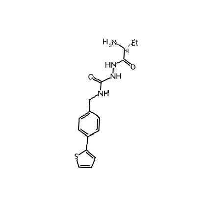 CC[C@@H](N)C(=O)NNC(=O)NCc1ccc(-c2cccs2)cc1